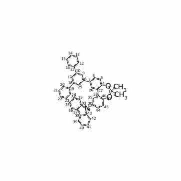 CC1(C)Oc2ccc(-c3cc(-c4ccccc4)cc(-c4ccccc4)c3)cc2-c2cc(-n3c4ccccc4c4ccccc43)ccc2O1